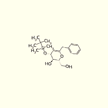 CC(C)(C)[Si](C)(C)O[C@@H]1C=C(Cc2ccccc2)O[C@H](CO)[C@H]1O